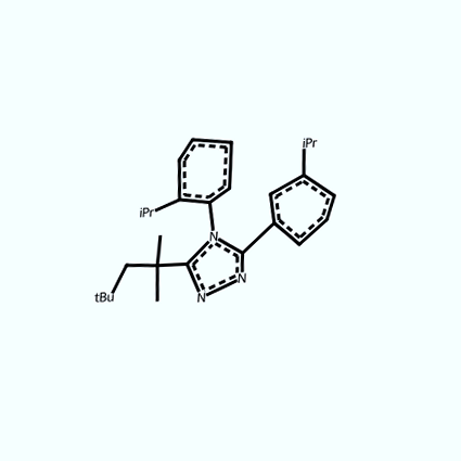 CC(C)c1cccc(-c2nnc(C(C)(C)CC(C)(C)C)n2-c2ccccc2C(C)C)c1